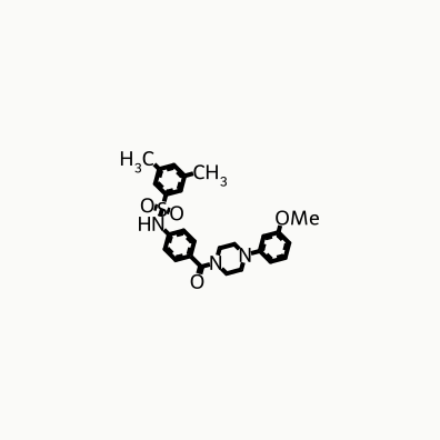 COc1cccc(N2CCN(C(=O)c3ccc(NS(=O)(=O)c4cc(C)cc(C)c4)cc3)CC2)c1